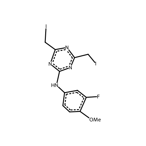 COc1ccc(Nc2nc(CI)nc(CI)n2)cc1F